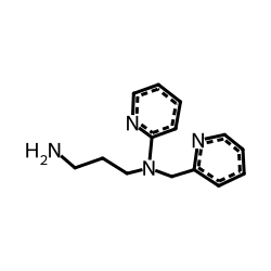 NCCCN(Cc1ccccn1)c1ccccn1